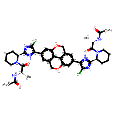 CC[C@H](C)[C@H](NC(=O)OC)C(=O)N1CCCC[C@H]1c1nc(Cl)c(-c2cc3c4c(c2)OCc2cc(-c5[nH]c([C@@H]6CCCCN6C(=O)[C@@H](NC(=O)OC)[C@@H](C)CC)nc5Cl)cc(c2-4)OC3)[nH]1